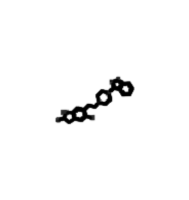 O=C1Cc2cc(Cl)c(CCN3CCN(c4nsc5ccccc45)CC3)cc2N1